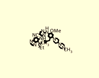 CCSN(C)c1c(Nc2nc(Nc3cc(CC4CC4)c(N4CCC(N5CCN(C)CC5)CC4)cc3OC)ncc2C#N)ccc2nccnc12